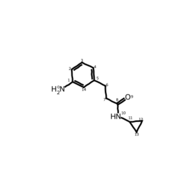 Nc1cccc(CCC(=O)NC2CC2)c1